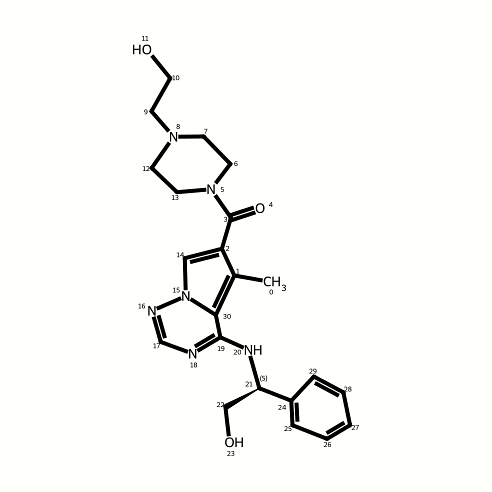 Cc1c(C(=O)N2CCN(CCO)CC2)cn2ncnc(N[C@H](CO)c3ccccc3)c12